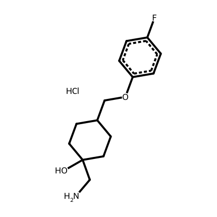 Cl.NCC1(O)CCC(COc2ccc(F)cc2)CC1